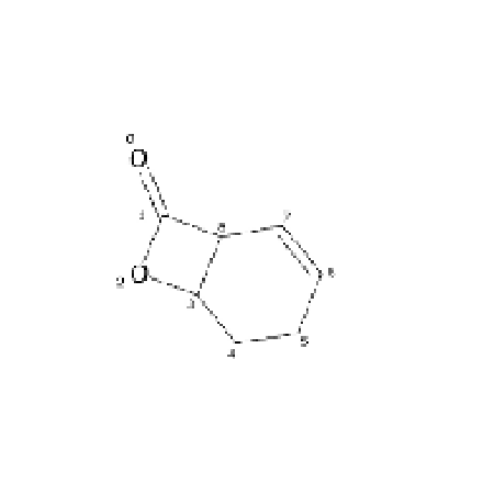 O=C1OC2CCC=CC12